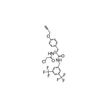 C#CCOc1ccc(C[C@H](NC(=O)CCl)C(=O)NCc2cc(C(F)(F)F)cc(C(F)(F)F)c2)cc1